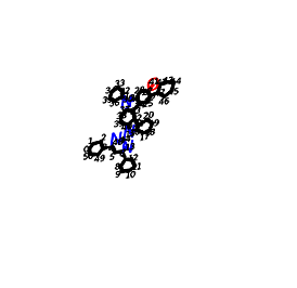 c1ccc(-c2cc(-c3ccccc3)nc(-n3c4ccccc4c4c5c6cc7c(cc6n(-c6ccccc6)c5ccc43)oc3ccccc37)n2)cc1